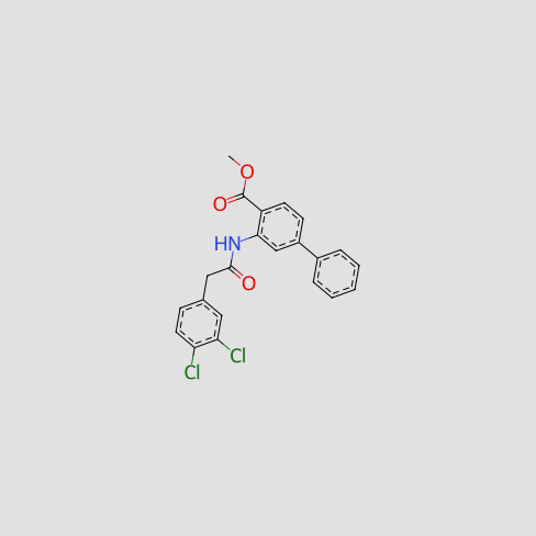 COC(=O)c1ccc(-c2ccccc2)cc1NC(=O)Cc1ccc(Cl)c(Cl)c1